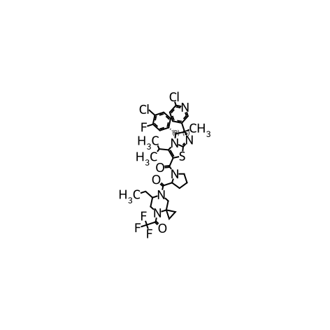 CCC1CN(C(=O)C(F)(F)F)C2(CC2)CN1C(=O)C1CCCN1C(=O)C1=C(C(C)C)N2C(=N[C@@](C)(c3ccc(Cl)nc3)[C@H]2c2ccc(Cl)c(F)c2)S1